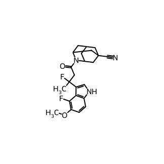 COc1ccc2[nH]cc(C(C)(F)CC(=O)N3C4CC5CC3CC(C#N)(C5)C4)c2c1F